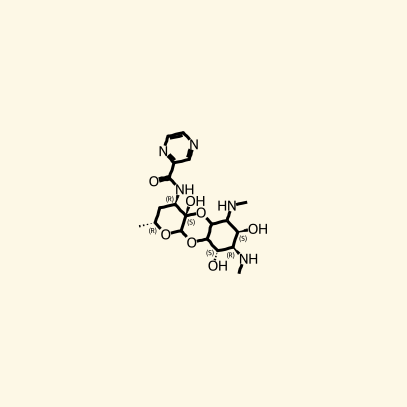 CNC1C2O[C@]3(O)C(OC2[C@@H](O)[C@H](NC)[C@@H]1O)O[C@H](C)C[C@H]3NC(=O)c1cnccn1